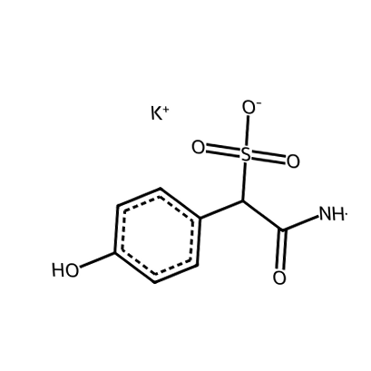 [K+].[NH]C(=O)C(c1ccc(O)cc1)S(=O)(=O)[O-]